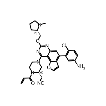 C=CC(=O)N1CCN(c2nc(OC[C@@H]3CCCN3C)nc3cc(-c4cc(N)ccc4Cl)c4ccoc4c23)C[C@@H]1CC#N